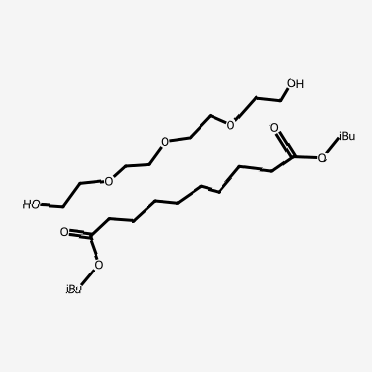 CCC(C)OC(=O)CCCCCCCCC(=O)OC(C)CC.OCCOCCOCCOCCO